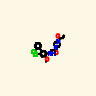 C=CC(=O)N1CCN(C(=O)CNc2cc(-c3ccccc3Cl)c(Cl)cc2OC)CC1